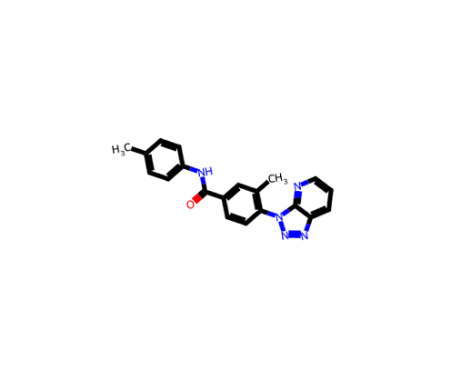 Cc1ccc(NC(=O)c2ccc(-n3nnc4cccnc43)c(C)c2)cc1